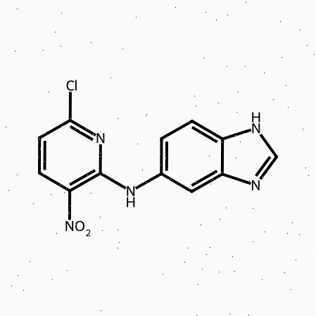 O=[N+]([O-])c1ccc(Cl)nc1Nc1ccc2[nH]cnc2c1